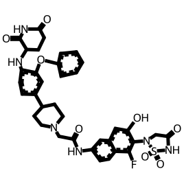 O=C1CCC(Nc2ccc(C3CCN(CC(=O)Nc4ccc5c(F)c(N6CC(=O)NS6(=O)=O)c(O)cc5c4)CC3)cc2Oc2ccccc2)C(=O)N1